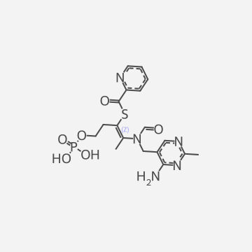 C/C(=C(\CCOP(=O)(O)O)SC(=O)c1ccccn1)N(C=O)Cc1cnc(C)nc1N